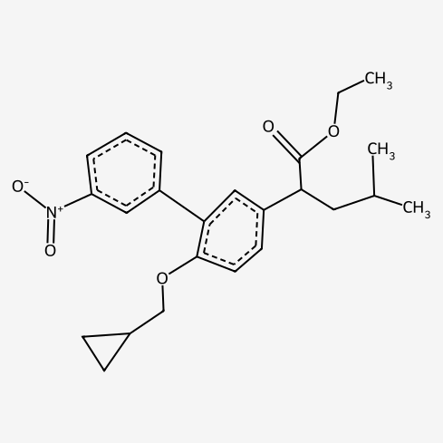 CCOC(=O)C(CC(C)C)c1ccc(OCC2CC2)c(-c2cccc([N+](=O)[O-])c2)c1